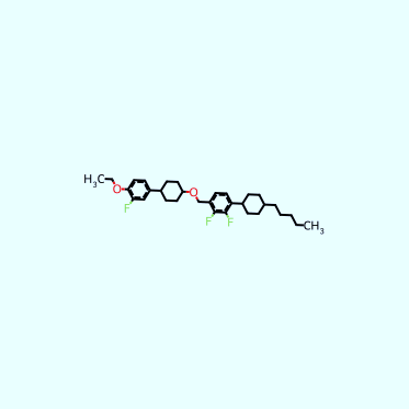 CCCCCC1CCC(c2ccc(COC3CCC(c4ccc(OCC)c(F)c4)CC3)c(F)c2F)CC1